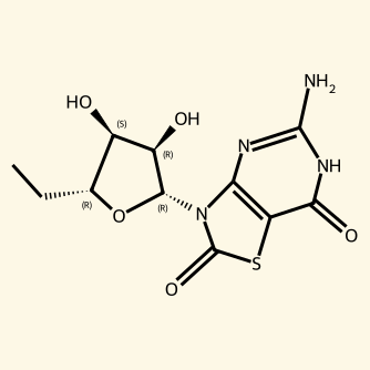 CC[C@H]1O[C@@H](n2c(=O)sc3c(=O)[nH]c(N)nc32)[C@H](O)[C@@H]1O